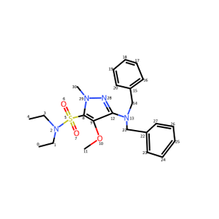 CCN(CC)S(=O)(=O)c1c(OC)c(N(Cc2ccccc2)Cc2ccccc2)nn1C